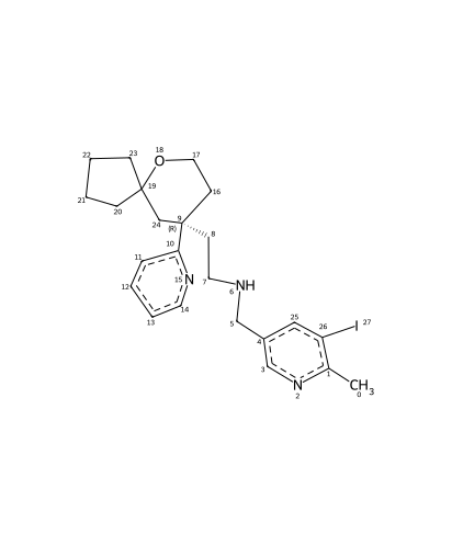 Cc1ncc(CNCC[C@@]2(c3ccccn3)CCOC3(CCCC3)C2)cc1I